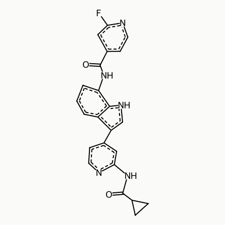 O=C(Nc1cccc2c(-c3ccnc(NC(=O)C4CC4)c3)c[nH]c12)c1ccnc(F)c1